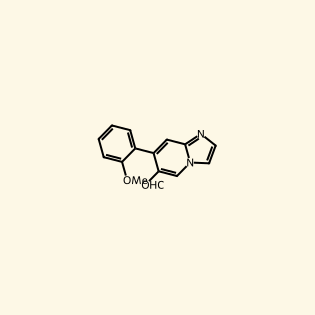 COc1ccccc1-c1cc2nccn2cc1C=O